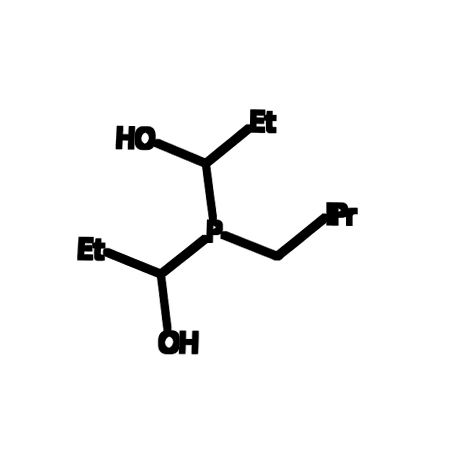 CCC(O)P(CC(C)C)C(O)CC